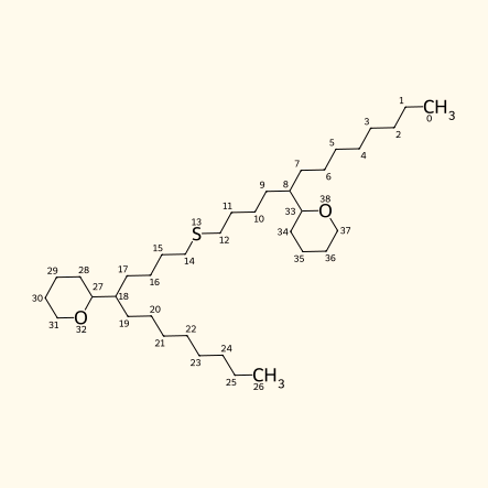 CCCCCCCCC(CCCCSCCCCC(CCCCCCCC)C1CCCCO1)C1CCCCO1